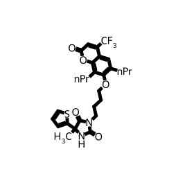 CCCc1cc2c(C(F)(F)F)cc(=O)oc2c(CCC)c1OCCCCN1C(=O)NC(C)(c2cccs2)C1=O